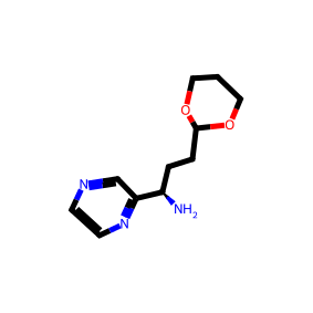 N[C@H](CCC1OCCCO1)c1cnccn1